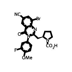 COc1ccc(-n2c(C[C@H]3CCCN3C(=O)O)nc3c(Br)cc(C#N)cc3c2=O)cc1F